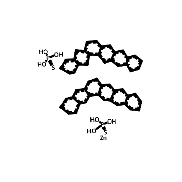 OP(O)(O)=S.OP(O)(O)=S.[Zn].c1ccc2cc3cc4c(ccc5cc6ccccc6cc54)cc3cc2c1.c1ccc2cc3cc4c(ccc5cc6ccccc6cc54)cc3cc2c1